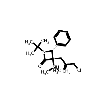 C=C(CCl)C[C@@]1([SiH](C)C)C(=O)N(C(C)(C)C)[C@@H]1c1ccccc1